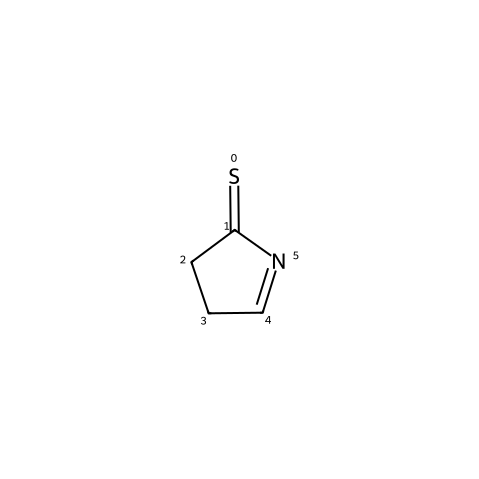 S=C1CCC=N1